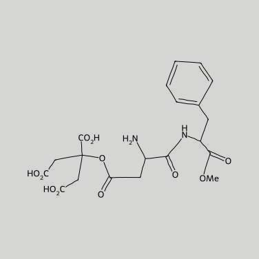 COC(=O)C(Cc1ccccc1)NC(=O)C(N)CC(=O)OC(CC(=O)O)(CC(=O)O)C(=O)O